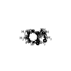 CC(C)C[C@@H]1NC(=O)[C@@H](Cc2ccccc2)NC(=O)[C@H](CCCN)NC(=O)[C@@H](NC(=O)[C@H](CCN)NC(=O)[C@@H](NC(=O)CC(N)C2CCCCC2)C(C)O)CCNC(=O)[C@H](C(C)O)NC(=O)[C@H](CCN)NC(=O)[C@H](CCN)NC1=O